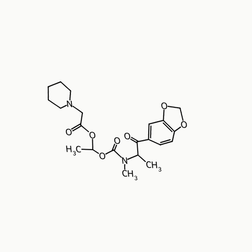 CC(OC(=O)CN1CCCCC1)OC(=O)N(C)C(C)C(=O)c1ccc2c(c1)OCO2